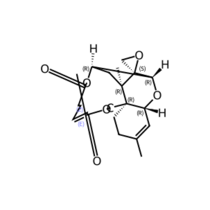 CC1=C[C@H]2O[C@@H]3[C@H]4C[C@](C)([C@]2(CC1)COC(=O)/C=C/C=C\C(=O)O4)[C@]31CO1